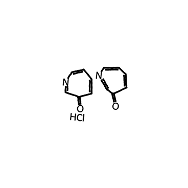 Cl.O=c1ccccnc1.O=c1ccccnc1